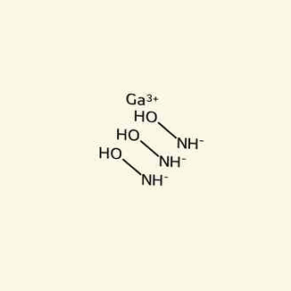 [Ga+3].[NH-]O.[NH-]O.[NH-]O